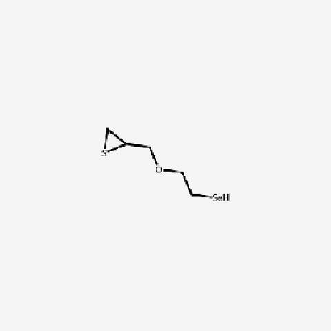 [SeH]CCOCC1CS1